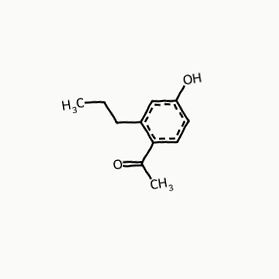 CCCc1cc(O)ccc1C(C)=O